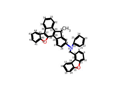 CC1c2cc(N(Cc3cccc4oc5ccccc5c34)c3ccccc3)ccc2-c2c1c1ccccc1c1c2oc2ccccc21